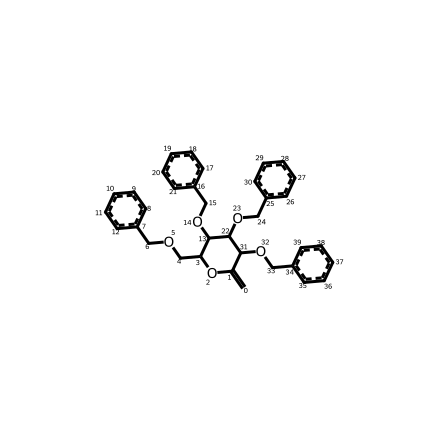 C=C1OC(COCc2ccccc2)C(OCc2ccccc2)C(OCc2ccccc2)C1OCc1ccccc1